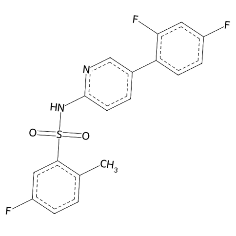 Cc1ccc(F)cc1S(=O)(=O)Nc1ccc(-c2ccc(F)cc2F)cn1